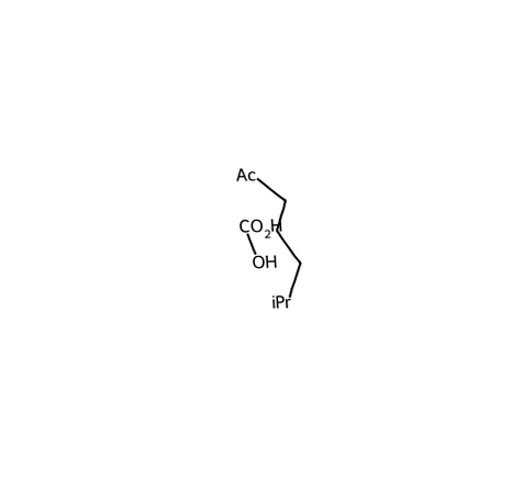 CC(=O)CCCC(C)C.O=C(O)O